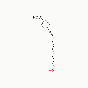 O=C(O)c1ccc(C#CCCCCCCCCCO)cc1